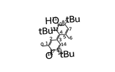 CC1=CC(=C2C(C)=CC(C(C)(C)C)=C(O)C2C(C)(C)C)C=C(C(C)(C)C)C1=O